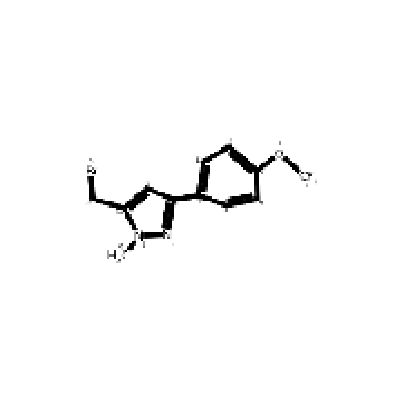 Cn1nc(-c2ccc(OC(F)(F)F)cc2)cc1CBr